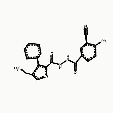 CCc1coc(C(=O)NNC(=O)c2ccc(O)c(C#N)c2)c1-c1ccccc1